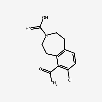 CC(=O)c1c(Cl)ccc2c1CCN(C(O)=P)CC2